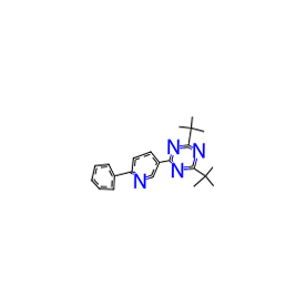 CC(C)(C)c1nc(-c2ccc(-c3ccccc3)nc2)nc(C(C)(C)C)n1